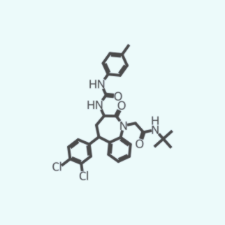 Cc1ccc(NC(=O)NC2CC(c3ccc(Cl)c(Cl)c3)c3ccccc3N(CC(=O)NC(C)(C)C)C2=O)cc1